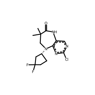 CC1(C)CN([C@@H]2CCC(F)(F)C2)c2nc(Cl)ncc2NC1=O